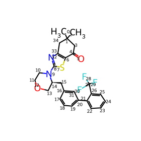 CC1(C)CC(=O)c2sc(N3CCOC[C@@H]3Cc3cccc(-c4ccccc4C(F)(F)F)c3)nc2C1